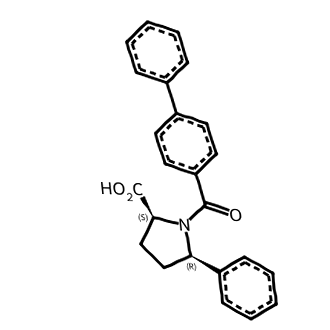 O=C(O)[C@@H]1CC[C@H](c2ccccc2)N1C(=O)c1ccc(-c2ccccc2)cc1